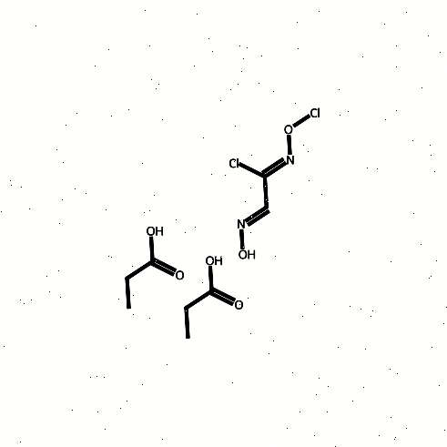 CCC(=O)O.CCC(=O)O.ON=CC(Cl)=NOCl